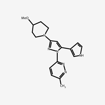 COC1CCN(c2cc(-c3cc[nH]c3)n(-c3ccc(C)nn3)n2)CC1